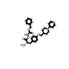 C[C@@H](Cc1ccc(OCC2CCN(c3ccncc3)CC2)cc1)C(=O)ONC(=O)OCc1ccccc1